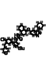 CC(C)(C)c1cc(NC(=O)N[C@H]2CC[C@@H](Oc3ccc4nnc(N5CCCCC5)n4c3)c3ccccc32)n(-c2ccc(Cl)c(CN3CCOCC3)c2)n1